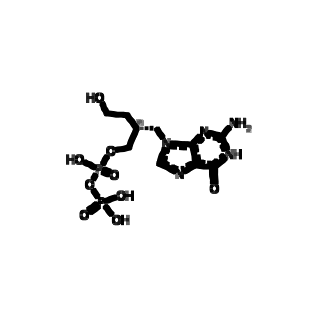 Nc1nc2c(ncn2C[C@@H](CCO)COP(=O)(O)OP(=O)(O)O)c(=O)[nH]1